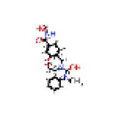 CN(c1ccccc1)C(O)N1CCOc2cc(C(=O)NO)ccc2C1